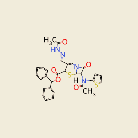 CC(=O)NN=CC1=CN2C(=O)C(N(C(C)=O)c3cccs3)[C@H]2SC1C(=O)OC(c1ccccc1)c1ccccc1